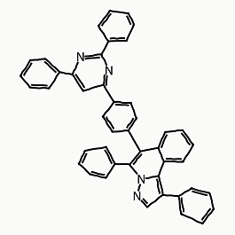 c1ccc(-c2cc(-c3ccc(-c4c(-c5ccccc5)n5ncc(-c6ccccc6)c5c5ccccc45)cc3)nc(-c3ccccc3)n2)cc1